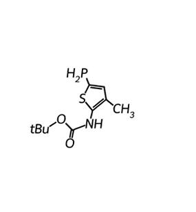 Cc1cc(P)sc1NC(=O)OC(C)(C)C